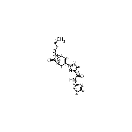 C=CCON1C(=O)N2CC(n3ccc(C(=O)Nc4nccs4)n3)=CC1C2